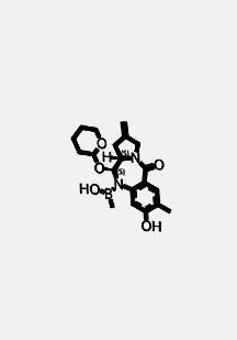 C=C1C[C@H]2[C@H](OC3CCCCO3)N(B(C)O)c3cc(O)c(C)cc3C(=O)N2C1